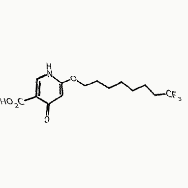 O=C(O)c1c[nH]c(OCCCCCCCC(F)(F)F)cc1=O